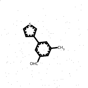 Cc1cc(C=O)cc(-c2ccsc2)c1